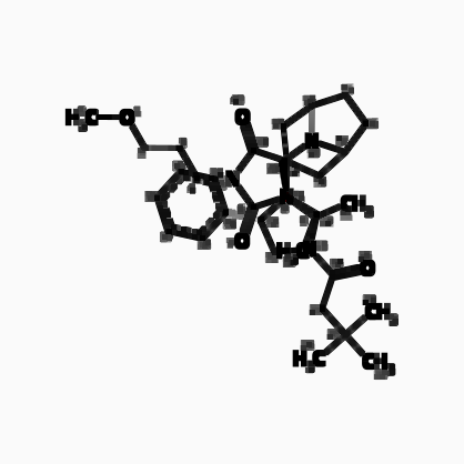 COCCCN1C(=O)N(C(C)C)C2(CC3CCC(C2)N3C[C@H]2CN(C(=O)CC(C)(C)C)C[C@@H]2c2ccccc2)C1=O